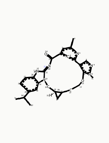 Cc1cc2cc(n1)-c1cnn(C)c1OCCC1C[C@H]1CN1/C(=N/C2=O)Nc2ccc(C(C)C)cc21